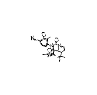 Cc1c(N2C(=O)N3CCC(C(C)(C)C)C3C2(O[SiH](C)C)C(C)C)ccc(C#N)c1Cl